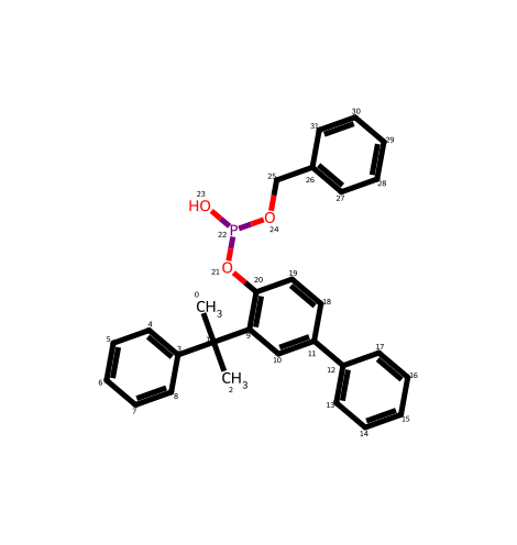 CC(C)(c1ccccc1)c1cc(-c2ccccc2)ccc1OP(O)OCc1ccccc1